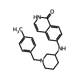 Cc1ccc(CN2CCCC(Nc3ccc4c(=O)[nH]ccc4c3)C2)cc1